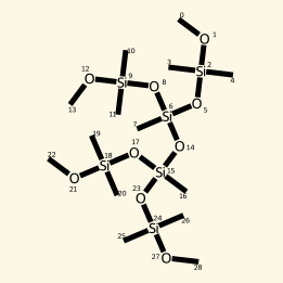 CO[Si](C)(C)O[Si](C)(O[Si](C)(C)OC)O[Si](C)(O[Si](C)(C)OC)O[Si](C)(C)OC